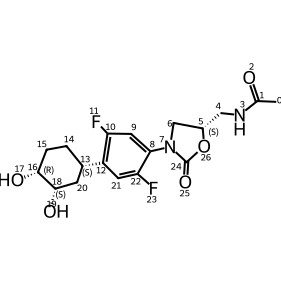 CC(=O)NC[C@H]1CN(c2cc(F)c([C@H]3CC[C@@H](O)[C@@H](O)C3)cc2F)C(=O)O1